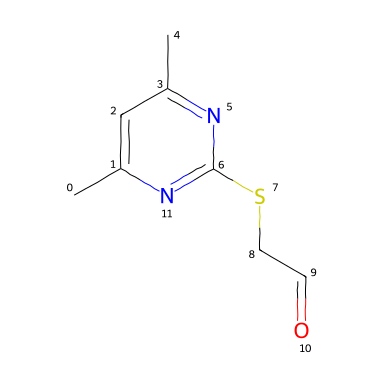 Cc1cc(C)nc(SCC=O)n1